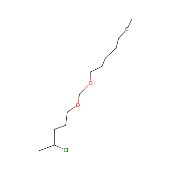 CCCCCCCOCOCCCC(C)Cl